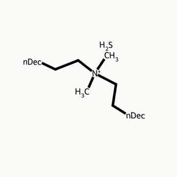 CCCCCCCCCCCC[N+](C)(C)CCCCCCCCCCCC.S